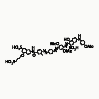 COc1ccc(Nc2ccc3c(O)c(N=Nc4cc(OC)c(N=Nc5ccc(N=Nc6ccc(C(=O)Nc7ccc8c(OCCCCS(=O)(=O)O)cc(S(=O)(=O)O)cc8c7)cc6C)cc5)cc4OC)c(S(=O)(=O)O)cc3c2)cc1